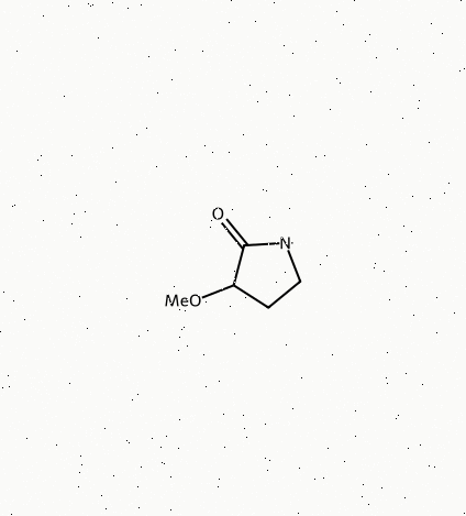 COC1CC[N]C1=O